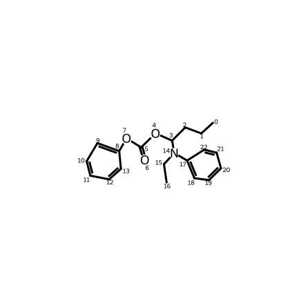 CCCC(OC(=O)Oc1ccccc1)N(CC)c1ccccc1